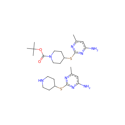 Cc1cc(N)nc(SC2CCN(C(=O)OC(C)(C)C)CC2)n1.Cc1cc(N)nc(SC2CCNCC2)n1